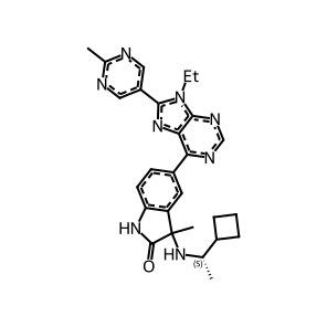 CCn1c(-c2cnc(C)nc2)nc2c(-c3ccc4c(c3)C(C)(N[C@@H](C)C3CCC3)C(=O)N4)ncnc21